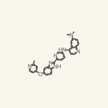 Cc1cc(Oc2ccc3[nH]c(-c4ccc(Nc5ccnc6ccc(N(C)C)cc56)cn4)nc3c2)ccn1